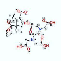 CC1(C(=O)[O-])CCC(C(=O)[O-])C1(C)C.O=C(O)CN(CCN(CC(=O)O)CC(=O)O)CC(=O)O.[Ca+2]